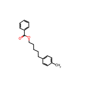 Cc1ccc(CCCCCOC(=O)c2ccccc2)cc1